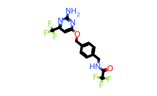 Nc1nc(OCc2ccc(CNC(=O)C(F)(F)F)cc2)cc(C(F)(F)F)n1